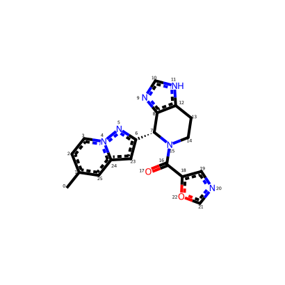 Cc1ccn2nc([C@@H]3c4nc[nH]c4CCN3C(=O)c3cnco3)cc2c1